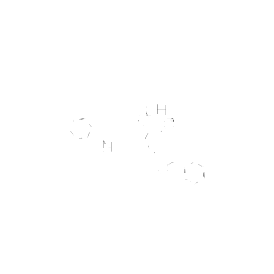 COC1=C(C2CCN(Cc3ccccc3)CC2)SC(CC(=O)c2ccccc2)C1=O